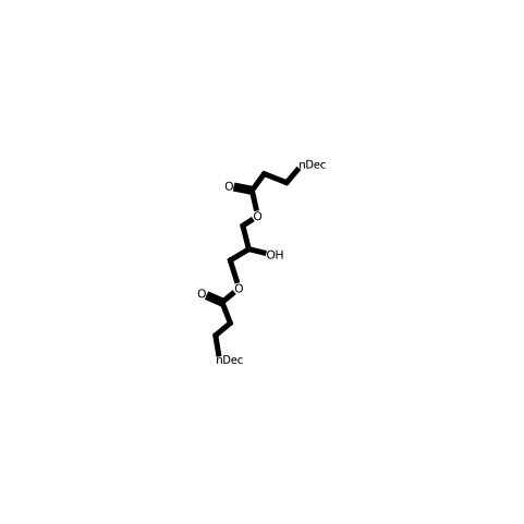 CCCCCCCCCCCCC(=O)OCC(O)COC(=O)CCCCCCCCCCCC